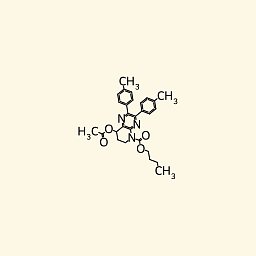 CCCCOC(=O)N1CCC(OC(C)=O)c2nc(-c3ccc(C)cc3)c(-c3ccc(C)cc3)nc21